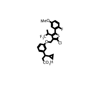 COc1ccc(F)c(-c2sc(Cl)c(COc3cccc(C(CC(=O)O)C4CC4)c3)c2C(C)C(F)(F)F)c1